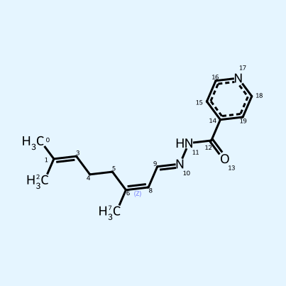 CC(C)=CCC/C(C)=C\C=NNC(=O)c1ccncc1